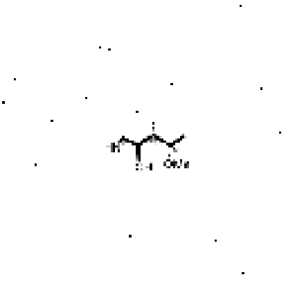 CO[C@@H](C)[C@@H](C)C(O)C=N